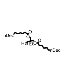 CCCCCCCCCCCCCCCC(=O)OCC(CC)(CO)COC(=O)CCCCCCCCCCCCCCC